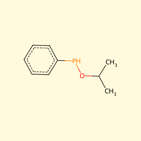 CC(C)OPc1ccccc1